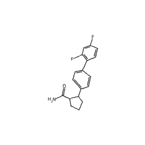 NC(=O)C1CCCC1c1ccc(-c2ccc(F)cc2F)cc1